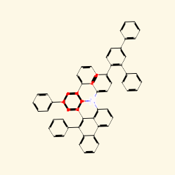 c1ccc(-c2ccc(-c3ccc(N(c4ccc(-c5ccccc5)cc4-c4ccccc4)c4cccc5c4c(-c4ccccc4)c(-c4ccccc4)c4ccccc45)cc3)c(-c3ccccc3)c2)cc1